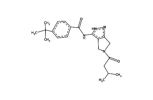 CC(C)CC(=O)N1Cc2n[nH]c(NC(=O)c3ccc(C(C)(C)C)cc3)c2C1